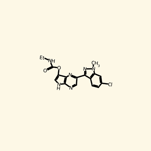 CCNC(=O)Oc1c[nH]c2ncc(-c3nn(C)c4cc(Cl)ccc34)nc12